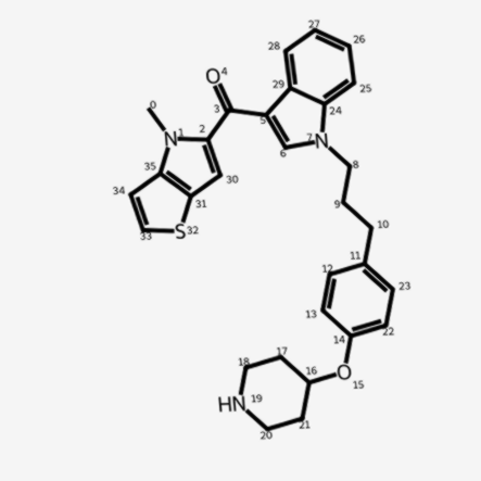 Cn1c(C(=O)c2cn(CCCc3ccc(OC4CCNCC4)cc3)c3ccccc23)cc2sccc21